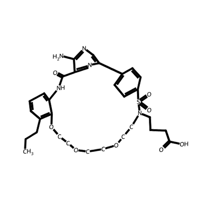 CCCc1cccc2c1OCCOCCOCCN(CCCC(=O)O)S(=O)(=O)c1ccc(cc1)-c1cnc(N)c(n1)C(=O)N2